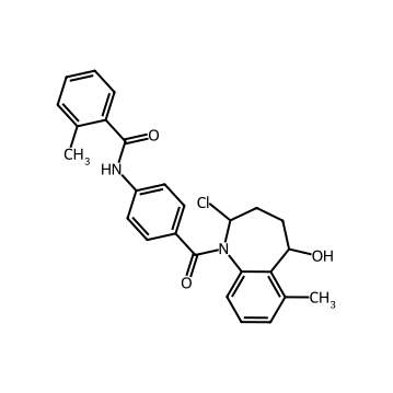 Cc1ccccc1C(=O)Nc1ccc(C(=O)N2c3cccc(C)c3C(O)CCC2Cl)cc1